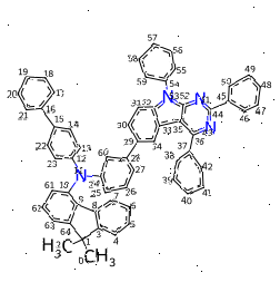 CC1(C)c2ccccc2-c2c(N(c3ccc(-c4ccccc4)cc3)c3cccc(-c4ccc5c(c4)c4c(-c6ccccc6)nc(-c6ccccc6)nc4n5-c4ccccc4)c3)cccc21